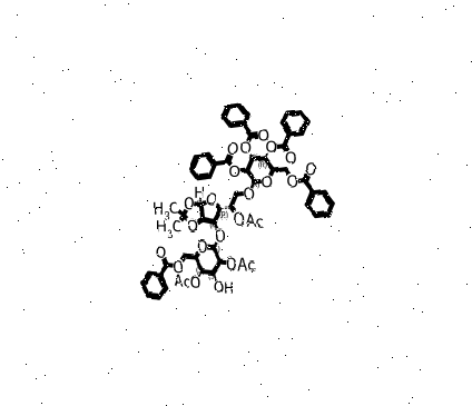 CC(=O)OC1[C@H](O[C@H]2C3OC(C)(C)O[C@H]3O[C@@H]2C(CO[C@@H]2OC(COC(=O)c3ccccc3)[C@@H](OC(=O)c3ccccc3)[C@H](OC(=O)c3ccccc3)C2OC(=O)c2ccccc2)OC(C)=O)OC(COC(=O)c2ccccc2)[C@@H](OC(C)=O)[C@@H]1O